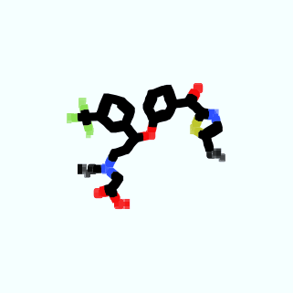 Cc1cnc(C(=O)c2cccc(OC(CCN(C)CC(=O)O)c3cccc(C(F)(F)F)c3)c2)s1